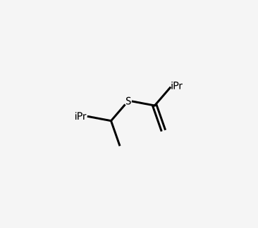 C=C(SC(C)C(C)C)C(C)C